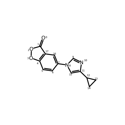 O=c1ooc2ccc(-n3cnc(C4CC4)c3)cc12